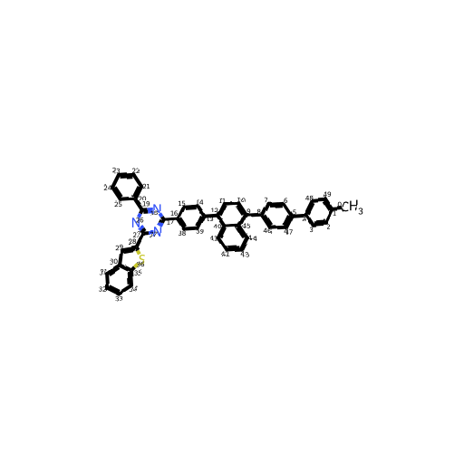 Cc1ccc(-c2ccc(-c3ccc(-c4ccc(-c5nc(-c6ccccc6)nc(-c6cc7ccccc7s6)n5)cc4)c4ccccc34)cc2)cc1